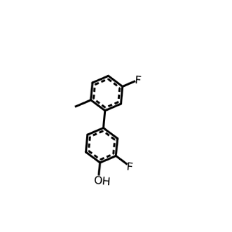 Cc1ccc(F)cc1-c1ccc(O)c(F)c1